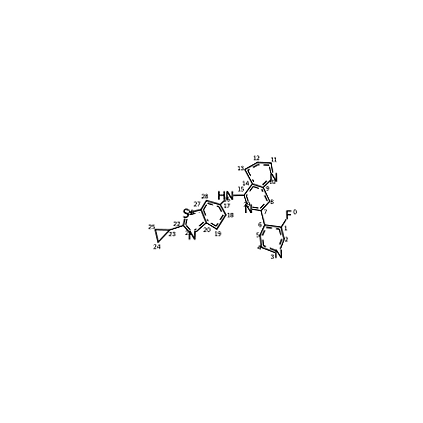 Fc1cnccc1-c1cc2ncccc2c(Nc2ccc3nc(C4CC4)sc3c2)n1